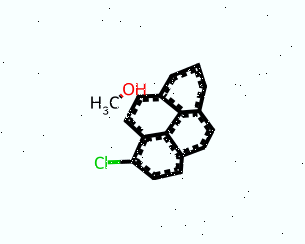 CO.Clc1ccc2ccc3cccc4ccc1c2c34